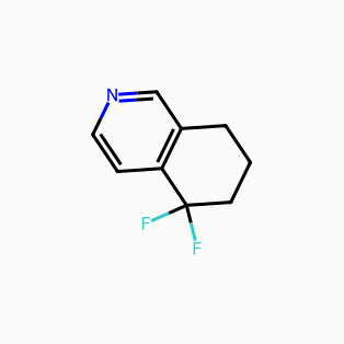 FC1(F)CCCc2cnccc21